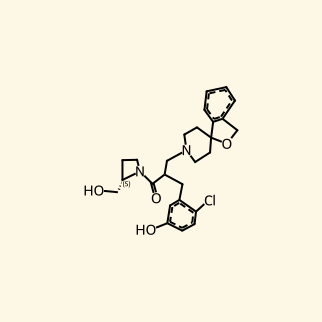 O=C(C(Cc1cc(O)ccc1Cl)CN1CCC2(CC1)OCc1ccccc12)N1CC[C@H]1CO